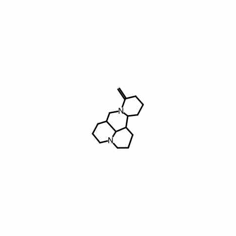 C=C1CCCC2C3CCCN4CCCC(CN12)C34